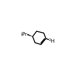 [2H]C1=CC[C@@H](C(C)C)CC1